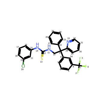 FC(F)(F)c1cccc(C(CNC(=S)Nc2cccc(Cl)c2)(c2ccccc2)c2ccccn2)c1